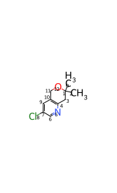 CC1(C)Cc2ncc(Cl)cc2CO1